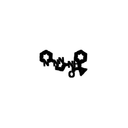 O=C(Nc1ccn(-c2ccccn2)n1)C1(c2ccccc2)CC1